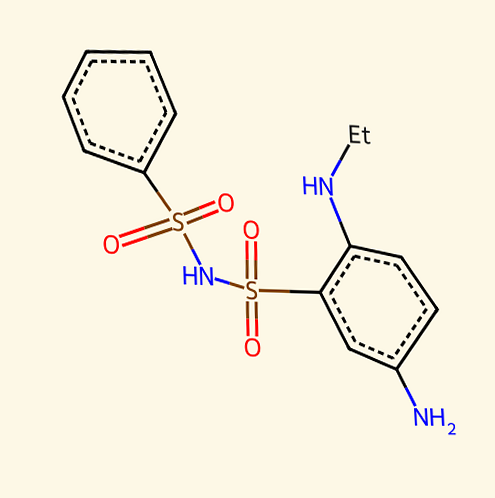 CCNc1ccc(N)cc1S(=O)(=O)NS(=O)(=O)c1ccccc1